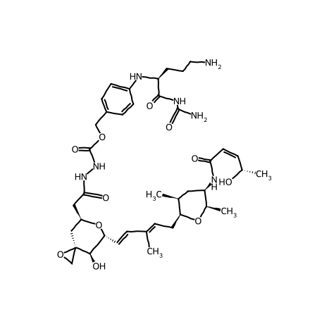 CC(/C=C/[C@H]1O[C@H](CC(=O)NNC(=O)OCc2ccc(N[C@@H](CCCN)C(=O)NC(N)=O)cc2)C[C@@]2(CO2)[C@@H]1O)=C\C[C@@H]1O[C@H](C)[C@H](NC(=O)/C=C\[C@H](C)O)C[C@@H]1C